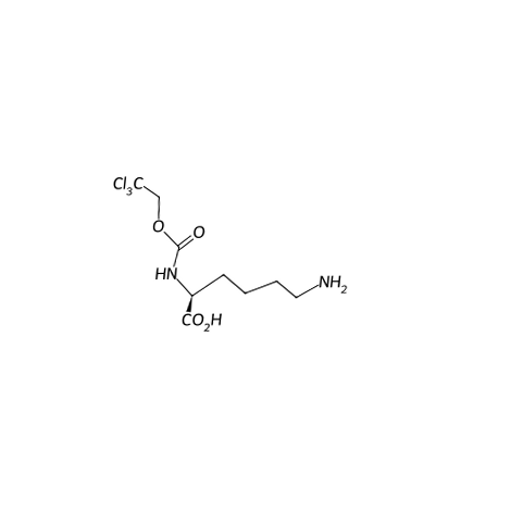 NCCCC[C@H](NC(=O)OCC(Cl)(Cl)Cl)C(=O)O